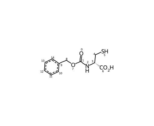 O=C(N[C@H](CS)C(=O)O)OCc1ccccc1